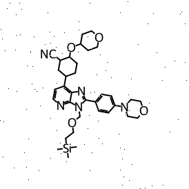 C[Si](C)(C)CCOCn1c(-c2ccc(N3CCOCC3)cc2)nc2c(C3CCC(OC4CCOCC4)C(C#N)C3)ccnc21